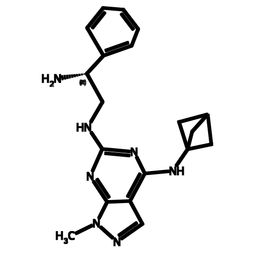 Cn1ncc2c(NC34CC(C3)C4)nc(NC[C@H](N)c3ccccc3)nc21